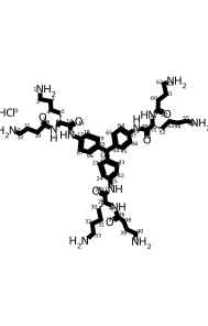 Cl.NCCCC[C@@H](NC(=O)CCCN)C(=O)Nc1ccc(C(c2ccc(NC(=O)[C@@H](CCCCN)NC(=O)CCCN)cc2)c2ccc(NC(=O)[C@@H](CCCCN)NC(=O)CCCN)cc2)cc1